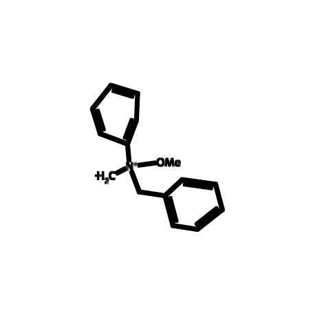 [CH2][N+](Cc1ccccc1)(OC)c1ccccc1